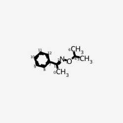 CC(=NOC(C)C)c1c[c]ccc1